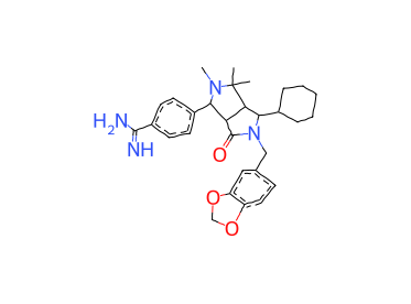 CN1C(c2ccc(C(=N)N)cc2)C2C(=O)N(Cc3ccc4c(c3)OCO4)C(C3CCCCC3)C2C1(C)C